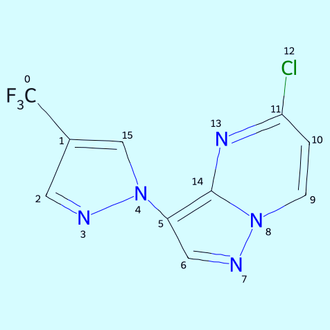 FC(F)(F)c1cnn(-c2cnn3ccc(Cl)nc23)c1